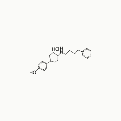 Cl.Oc1ccc(C2CCC(NCCCCc3ccccc3)CC2)cc1